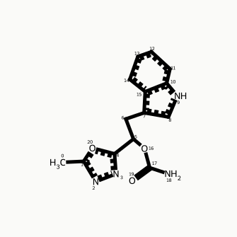 Cc1nnc(C(Cc2c[nH]c3ccccc23)OC(N)=O)o1